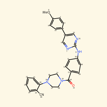 COc1ccc(-c2cnc(Nc3ccc(C(=O)N4CCN(c5ccccc5C#N)CC4)cc3)nc2)cc1